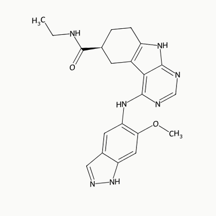 CCNC(=O)[C@H]1CCc2[nH]c3ncnc(Nc4cc5cn[nH]c5cc4OC)c3c2C1